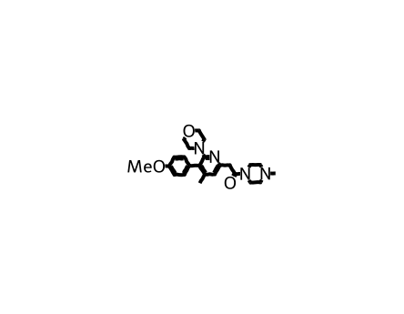 COc1ccc(-c2c(C)cc(CC(=O)N3CCN(C)CC3)nc2N2CCOCC2)cc1